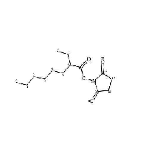 CCCCCCC(CC)C(=O)ON1C(=O)CCC1=O